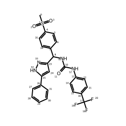 CS(=O)(=O)c1ccc(C(NC(=O)Nc2ccc(C(F)(F)F)cc2)c2cc(-c3ccccc3)[nH]n2)cc1